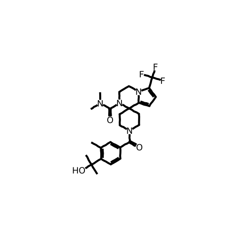 Cc1cc(C(=O)N2CCC3(CC2)c2ccc(C(F)(F)F)n2CCN3C(=O)N(C)C)ccc1C(C)(C)O